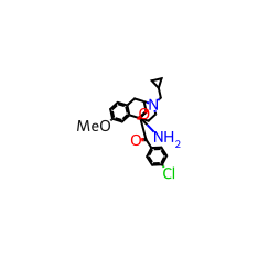 COc1ccc2c(c1)C13CCN(CC4CC4)C(C2)C1OCC(N)(C(=O)c1ccc(Cl)cc1)C3